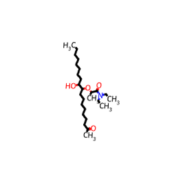 CCCCCCCCC(O)C(CCCCCCCC(C)=O)OC(C)C(=O)N(CC)CC